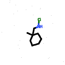 CC1(CNCl)CCCCC1